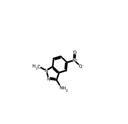 Cn1nc(N)c2cc([N+](=O)[O-])ccc21